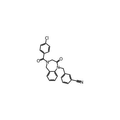 N#Cc1cccc(CN2C(=O)CN(C(=O)c3ccc(Cl)cc3)Cc3ccccc32)c1